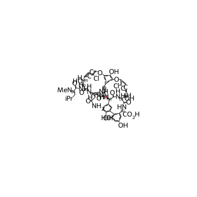 CN[C@H](CC(C)C)C(=O)N[C@H]1C(=O)N[C@@H](CC(N)=O)C(=O)N[C@H]2C(=N)N[C@H]3C(=O)N[C@H](C(=O)N[C@H](C(=O)O)c4cc(O)cc(O)c4-c4cc3ccc4O)[C@H](O)c3ccc(c(Cl)c3)Oc3cc2cc(c3O)Oc2ccc(cc2Cl)[C@H]1O